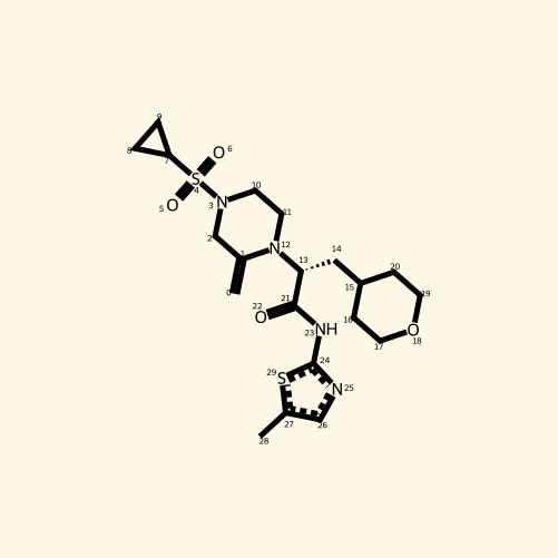 C=C1CN(S(=O)(=O)C2CC2)CCN1[C@H](CC1CCOCC1)C(=O)Nc1ncc(C)s1